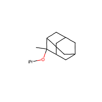 CC(C)OC1(C)C2CC3CC(C2)CC1C3